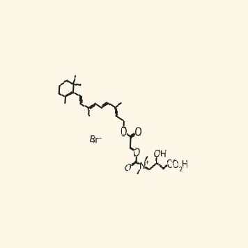 CC(C=CC1=C(C)CCCC1(C)C)=CC=CC(C)=CCOC(=O)COC(=O)[N+](C)(C)CC(O)CC(=O)O.[Br-]